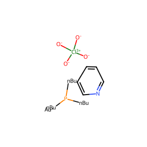 CCCCP(CCCC)CCCC.[Au+].[O-][Cl+3]([O-])([O-])[O-].c1ccncc1